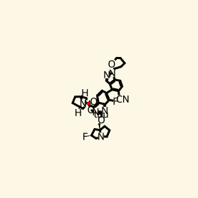 CC(C)(C)OC(=O)N1[C@@H]2CC[C@H]1CN(c1nc(OC[C@@]34CCCN3C[C@H](F)C4)nc3c(F)c(-c4c(C#N)ccc5c4cnn5C4CCCCO4)ccc13)C2